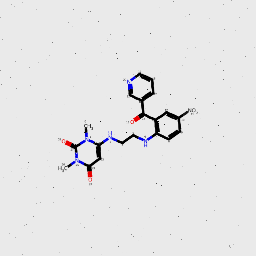 Cn1c(NCCNc2ccc([N+](=O)[O-])cc2C(=O)c2cccnc2)cc(=O)n(C)c1=O